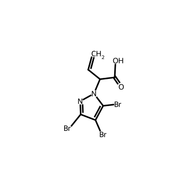 C=CC(C(=O)O)n1nc(Br)c(Br)c1Br